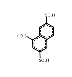 O=S(=O)(O)c1[c]cc2cc(S(=O)(=O)O)cc(S(=O)(=O)O)c2c1